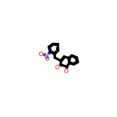 O=C1C(=O)c2ccccc2C=C1Cc1ccccc1[N+](=O)[O-]